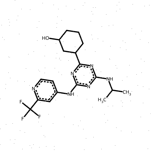 CC(C)Nc1nc(Nc2ccnc(C(F)(F)F)c2)nc(C2CCCC(O)C2)n1